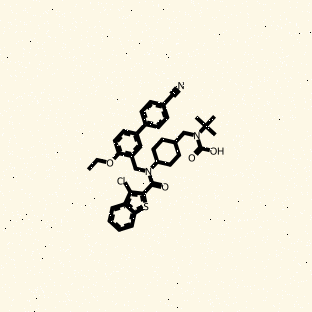 CCOc1ccc(-c2ccc(C#N)cc2)cc1CN(C(=O)c1sc2ccccc2c1Cl)C1CCC(CN(C(=O)O)C(C)(C)C)CC1